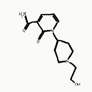 NC(=O)c1cccn(C2CCN(CCO)CC2)c1=O